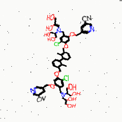 Cc1c(COc2cc(OCc3cncc(C#N)c3)c(CN(CC(O)CO)C(CO)CO)cc2Cl)cccc1-c1cccc(COc2cc(OCc3cncc(C#N)c3)c(CN(CC(O)CO)C(CO)CO)cc2Cl)c1C